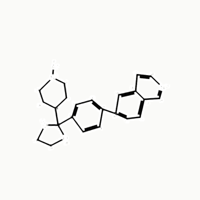 CC(=O)N1CCC(C2(c3ccc(-c4ccc5cnccc5c4)cc3)OCCO2)CC1